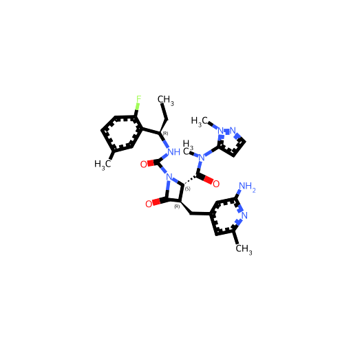 CC[C@@H](NC(=O)N1C(=O)[C@H](Cc2cc(C)nc(N)c2)[C@H]1C(=O)N(C)c1ccnn1C)c1cc(C)ccc1F